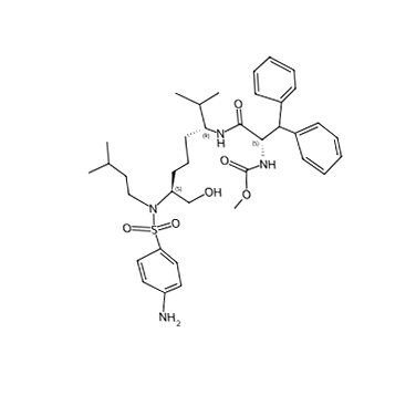 COC(=O)N[C@H](C(=O)N[C@H](CCC[C@@H](CO)N(CCC(C)C)S(=O)(=O)c1ccc(N)cc1)C(C)C)C(c1ccccc1)c1ccccc1